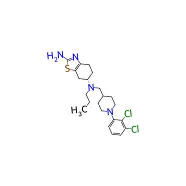 CCCN(CC1CCN(c2cccc(Cl)c2Cl)CC1)[C@H]1CCc2nc(N)sc2C1